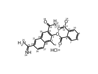 Cc1c(OC(=O)c2ccccc2[N+](=O)[O-])c(C(N)=O)cc2cc(C(=N)N)ccc12.Cl